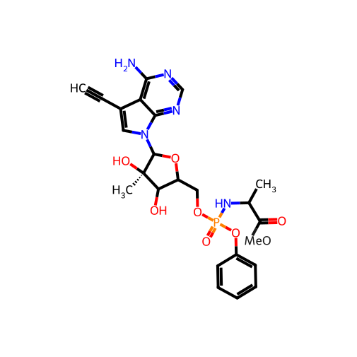 C#Cc1cn(C2OC(COP(=O)(NC(C)C(=O)OC)Oc3ccccc3)C(O)[C@@]2(C)O)c2ncnc(N)c12